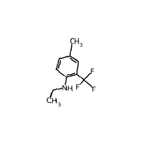 CCNc1ccc(C)cc1C(F)(F)F